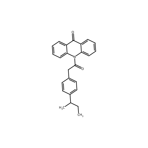 CCC(C)c1ccc(CC(=O)n2c3ccccc3c(=O)c3ccccc32)cc1